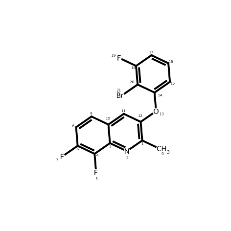 Cc1nc2c(F)c(F)ccc2cc1Oc1cccc(F)c1Br